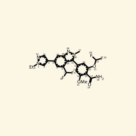 CCn1cc(-c2cc(C(F)F)c3c(-c4cc(OC)c(C(N)=O)c(OC(F)F)c4)n(C)nc3c2)cn1